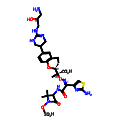 CC1(C)C(NC(=O)/C(=N\O[C@](C)(C(=O)O)[C@H]2CCc3cc(C4CN=C(NC[C@@H](O)CN)NC4)ccc3O2)c2csc(N)n2)C(=O)N1OS(=O)(=O)O